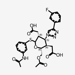 CC(=O)Nc1cccc(SC2O[C@@H](COC(C)=O)[C@H](CC(=O)O)[C@H](n3cc(-c4cccc(F)c4)nn3)[C@H]2CC(=O)O)c1